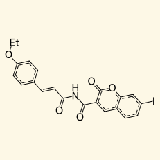 CCOc1ccc(/C=C/C(=O)NC(=O)c2cc3ccc(I)cc3oc2=O)cc1